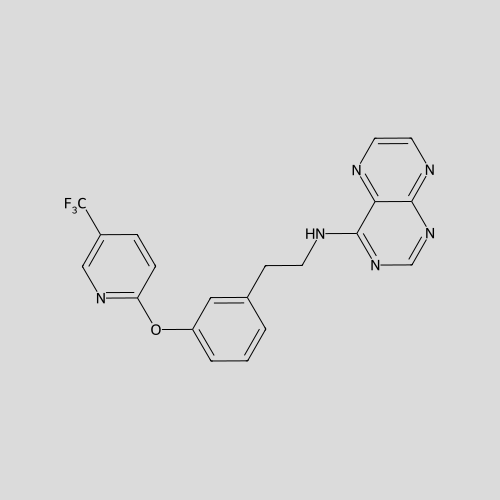 FC(F)(F)c1ccc(Oc2cccc(CCNc3ncnc4nccnc34)c2)nc1